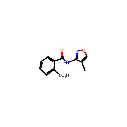 Cc1conc1NC(=O)c1ccccc1C(=O)O